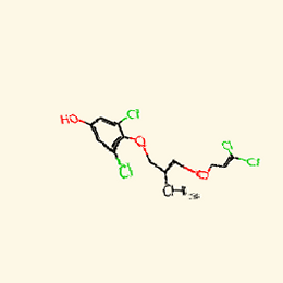 CC(COCC=C(Cl)Cl)COc1c(Cl)cc(O)cc1Cl